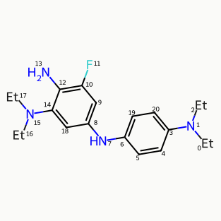 CCN(CC)c1ccc(Nc2cc(F)c(N)c(N(CC)CC)c2)cc1